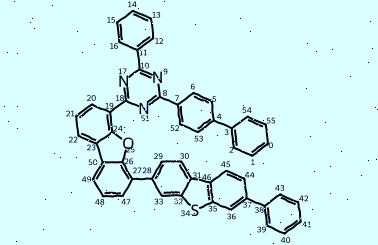 c1ccc(-c2ccc(-c3nc(-c4ccccc4)nc(-c4cccc5c4oc4c(-c6ccc7c(c6)sc6cc(-c8ccccc8)ccc67)cccc45)n3)cc2)cc1